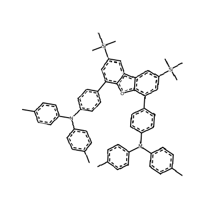 Cc1ccc(N(c2ccc(C)cc2)c2ccc(-c3cc([Si](C)(C)C)cc4c3oc3c(-c5ccc(N(c6ccc(C)cc6)c6ccc(C)cc6)cc5)cc([Si](C)(C)C)cc34)cc2)cc1